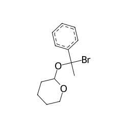 CC(Br)(OC1CCCCO1)c1ccccc1